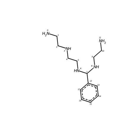 NCCNCCNC(NCCN)c1cc[c]cc1